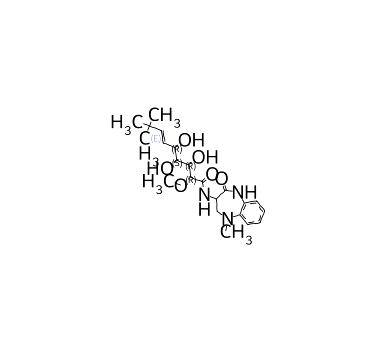 CO[C@@H](C(=O)NC1CN(C)c2ccccc2NC1=O)[C@H](O)[C@@H](O)[C@H](O)/C=C/C(C)(C)C